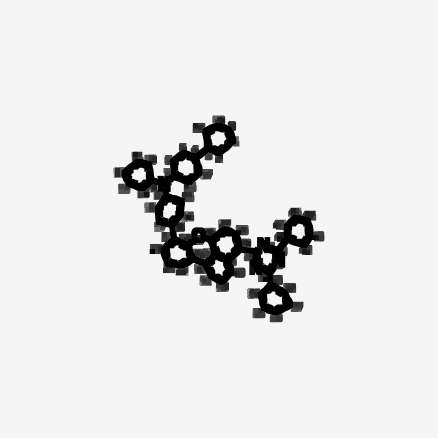 c1ccc(-c2ccc(N(c3ccccc3)c3ccc(-c4cccc5c4Oc4ccc(-c6nc(-c7ccccc7)nc(-c7ccccc7)n6)c6cccc-5c46)cc3)cc2)cc1